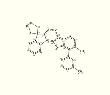 Cc1ccnc(-c2c(C)ccc3c2oc2c4c(ccc23)C(CC(C)C)(CC(C)C)c2ccccc2-4)c1